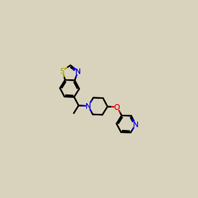 CC(c1ccc2scnc2c1)N1CCC(Oc2cccnc2)CC1